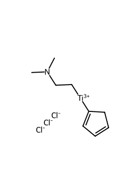 CN(C)C[CH2][Ti+3][C]1=CC=CC1.[Cl-].[Cl-].[Cl-]